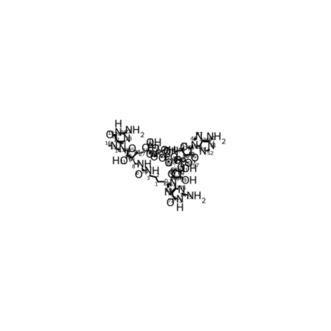 CCCCNC(=O)NC[C@H]1[C@@H](O)[C@H](n2c[n+](C)c3c(=O)[nH]c(N)nc32)O[C@@H]1COP(=O)(O)OP(=O)(O)OP(=O)(O)OC[C@H]1O[C@@H](n2cnc3c(N)ncnc32)[C@H](OC)[C@@H]1P(=O)([O-])OC[C@H]1O[C@@H](n2cnc3c(=O)[nH]c(N)nc32)[C@H](O)[C@@H]1O